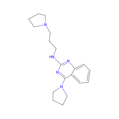 c1ccc2c(N3CCCC3)nc(NCCCN3CCCC3)nc2c1